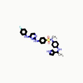 CC(NC1CCC(N(C)S(=O)(=O)c2ccc(Nc3nccc(Nc4ccc(F)cc4)n3)cc2)CC1)c1cc[nH]c1